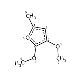 COc1cc(C)oc1OC